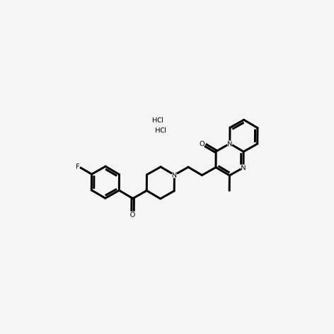 Cc1nc2ccccn2c(=O)c1CCN1CCC(C(=O)c2ccc(F)cc2)CC1.Cl.Cl